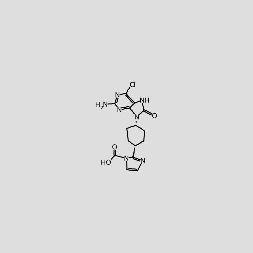 Nc1nc(Cl)c2[nH]c(=O)n([C@H]3CC[C@H](c4nccn4C(=O)O)CC3)c2n1